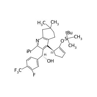 CC(C)c1nc2c(c([C@@H]3CCC=C3O[Si](C)(C)C(C)(C)C)c1[C@H](O)c1ccc(C(F)(F)F)c(F)c1)CCC(C)(C)C2